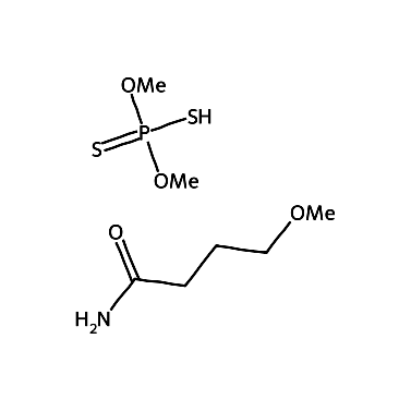 COCCCC(N)=O.COP(=S)(S)OC